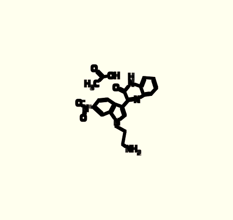 CC(=O)O.NCCCn1cc(-c2nc3ccccc3[nH]c2=O)c2ccc([N+](=O)[O-])cc21